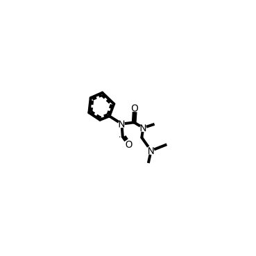 CN(C)CN(C)C(=O)N([C]=O)c1ccccc1